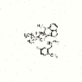 CN[C@@H](C)C(=O)N[C@@H]1C(=O)N2c3c(cccc3C1C)C[C@H]2C(=O)NCc1cc(F)ccc1C